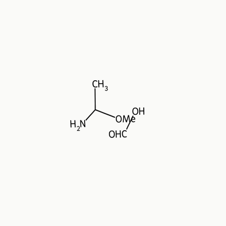 COC(C)N.O=CO